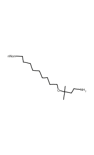 CCCCCCCCCCCCCCCCCCOC(C)(C)CCN